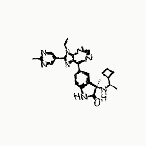 CCn1c(-c2cnc(C)nc2)nc2c(-c3ccc4c(c3)[C@@](C)(N[C@H](C)C3CCC3)C(=O)N4)ncnc21